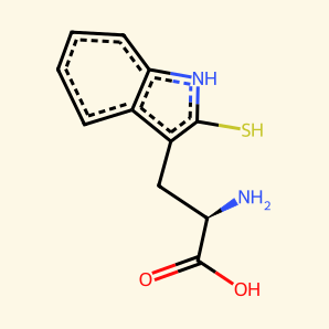 N[C@H](Cc1c(S)[nH]c2ccccc12)C(=O)O